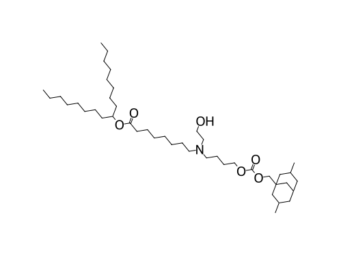 CCCCCCCCC(CCCCCCCC)OC(=O)CCCCCCCN(CCO)CCCCOC(=O)OCC12CC(C)CC(CC(C)C1)C2